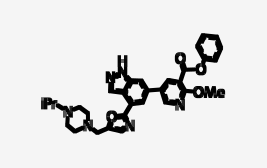 COc1ncc(-c2cc(-c3ncc(CN4CCN(C(C)C)CC4)o3)c3cn[nH]c3c2)cc1C(=O)Oc1ccccc1